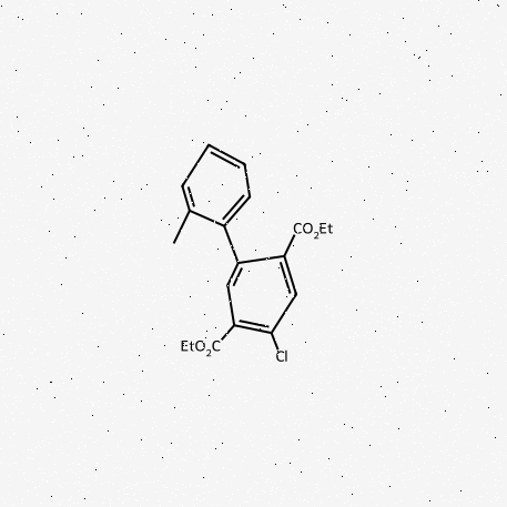 CCOC(=O)c1cc(-c2ccccc2C)c(C(=O)OCC)cc1Cl